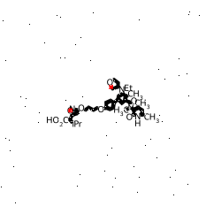 CCN(c1cc(-c2ccc(OCCCCOc3cc(C(C(=O)O)C(C)C)on3)cc2)cc(C(=O)N(C)c2c(C)cc(C)[nH]c2=O)c1C)C1CCOCC1